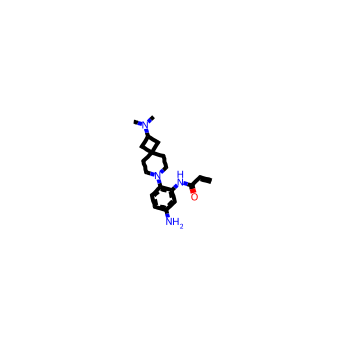 C=CC(=O)Nc1cc(N)ccc1N1CCC2(CC1)CC(N(C)C)C2